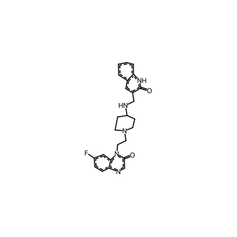 O=c1[nH]c2ccccc2cc1CNC1CCN(CCn2c(=O)cnc3ccc(F)cc32)CC1